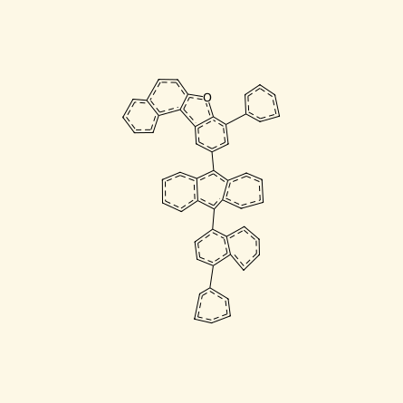 c1ccc(-c2ccc(-c3c4ccccc4c(-c4cc(-c5ccccc5)c5oc6ccc7ccccc7c6c5c4)c4ccccc34)c3ccccc23)cc1